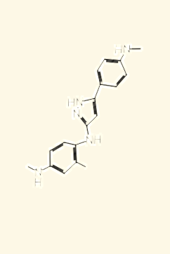 CNc1ccc(-c2cc(Nc3ccc(NC)cc3C)n[nH]2)cc1